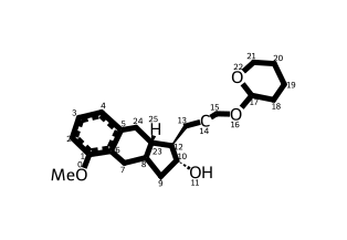 COc1cccc2c1CC1C[C@@H](O)[C@H](CCCOC3CCCCO3)[C@H]1C2